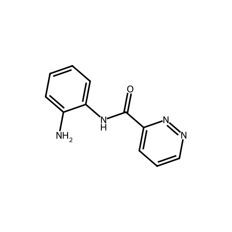 Nc1ccccc1NC(=O)c1cccnn1